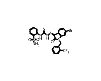 NS(=O)(=O)c1ccccc1NC(=S)NN=C1C(=O)N(Cc2ccccc2C(F)(F)F)c2cc(Br)ccc21